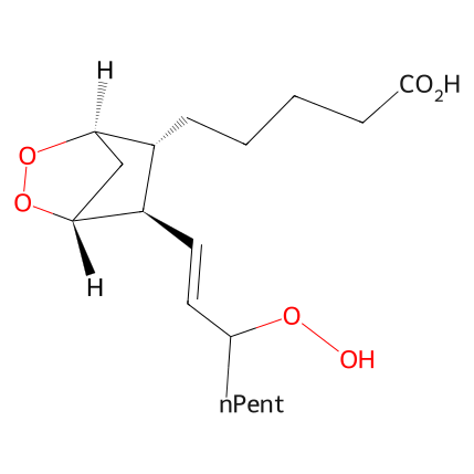 CCCCCC(C=C[C@@H]1[C@@H](CCCCC(=O)O)[C@H]2C[C@H]1OO2)OO